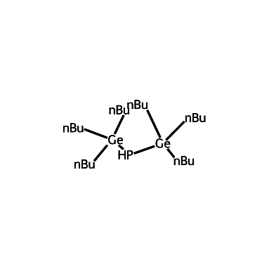 CCC[CH2][Ge]([CH2]CCC)([CH2]CCC)[PH][Ge]([CH2]CCC)([CH2]CCC)[CH2]CCC